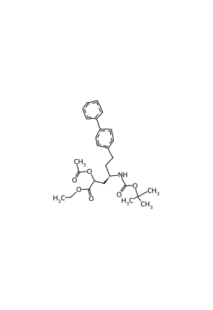 CCOC(=O)C(C[C@@H](CCc1ccc(-c2ccccc2)cc1)NC(=O)OC(C)(C)C)OC(C)=O